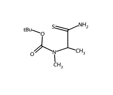 CC(C(N)=S)N(C)C(=O)OC(C)(C)C